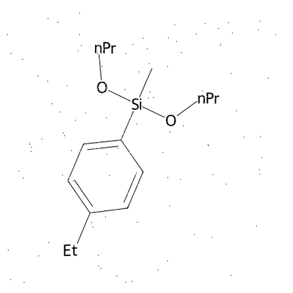 CCCO[Si](C)(OCCC)c1ccc(CC)cc1